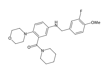 COc1ccc(CNc2ccc(N3CCOCC3)c(C(=O)N3CCCCC3)c2)cc1F